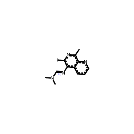 Cc1nc(I)c(/N=C/N(C)C)c2cccnc12